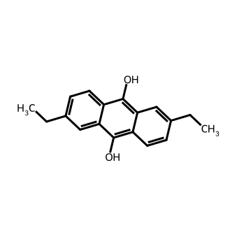 CCc1ccc2c(O)c3cc(CC)ccc3c(O)c2c1